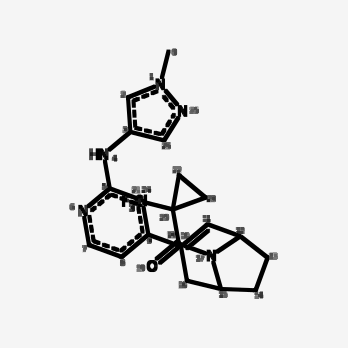 Cn1cc(Nc2nccc(C3=CC4CCC(C3)N4C(=O)C3(C(F)(F)F)CC3)n2)cn1